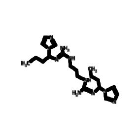 CCCC(N=C(N)NCCCNC(N)=NC(CCC)n1ccnc1)n1ccnc1